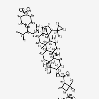 CC(C)C(CN[C@]12CC[C@@H](C3(C)CC3)[C@@H]1[C@H]1CC[C@@H]3[C@@]4(C)CC[C@H](OC(=O)[C@H]5C[C@@H](C(=O)O)C5(C)C)C(C)(C)[C@@H]4CC[C@@]3(C)[C@]1(C)CC2)N1CCS(=O)(=O)CC1